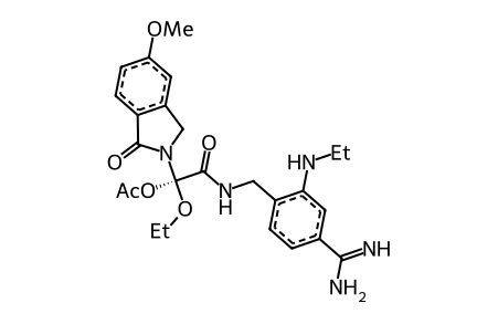 CCNc1cc(C(=N)N)ccc1CNC(=O)[C@](OCC)(OC(C)=O)N1Cc2cc(OC)ccc2C1=O